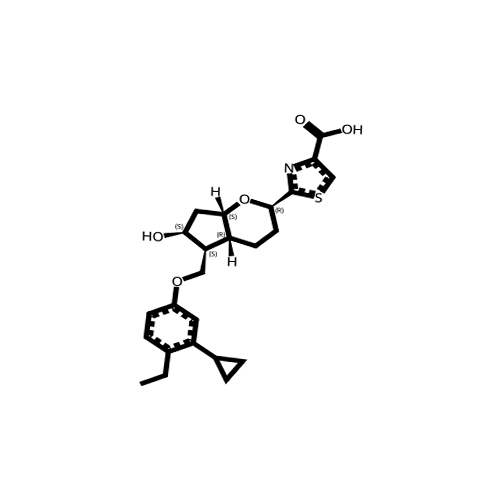 CCc1ccc(OC[C@@H]2[C@H]3CC[C@H](c4nc(C(=O)O)cs4)O[C@H]3C[C@@H]2O)cc1C1CC1